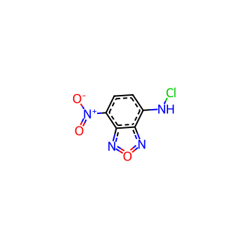 O=[N+]([O-])c1ccc(NCl)c2nonc12